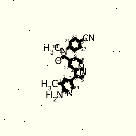 Cc1cc(-c2cnn3ccc(C(=O)N(C)c4ccc(C#N)cc4)cc23)cnc1N